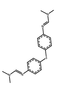 CN(C)C=Nc1ccc(Sc2ccc(N=CN(C)C)cc2)cc1